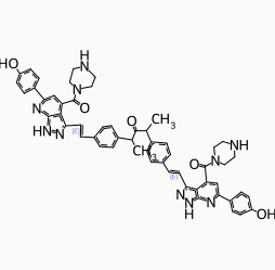 CC(C(=O)C(C)c1ccc(/C=C/c2n[nH]c3nc(-c4ccc(O)cc4)cc(C(=O)N4CCNCC4)c23)cc1)c1ccc(/C=C/c2n[nH]c3nc(-c4ccc(O)cc4)cc(C(=O)N4CCNCC4)c23)cc1